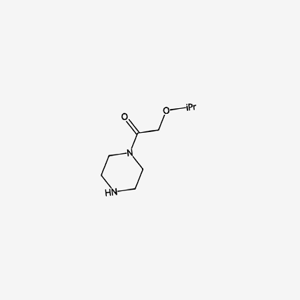 CC(C)OCC(=O)N1CCNCC1